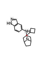 c1cc2[nH]ncc2cc1NC1CC2CCC(C1)N2CC1CCC1